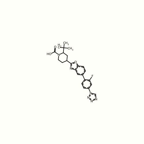 CC(C)(C)C1CC(c2nc3cc(-c4ccc(-n5cnnn5)cc4F)ccc3o2)CCN1C(=O)O